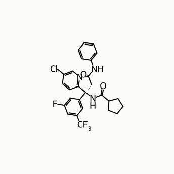 O=C(C[C@](NC(=O)C1CCCC1)(c1cc(F)cc(C(F)(F)F)c1)c1ccc(Cl)cn1)Nc1ccccc1